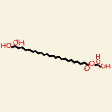 O=C(CCCCCCCCCCCCCCCCCCCCCCC(O)CO)OCC(O)CO